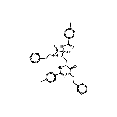 CCS(NC(=O)c1ccc(C)cc1)(SCC(NC(=O)c1ccc(C)cc1)C(=O)NCCc1ccccc1)C(=O)NCCc1ccccc1